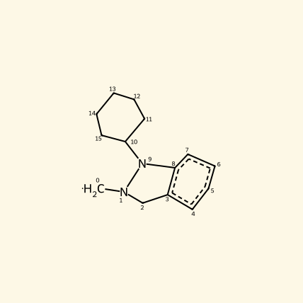 [CH2]N1Cc2ccccc2N1C1CCCCC1